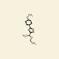 CCOC(C)c1noc(-c2ccc(OC)cc2)n1